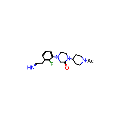 CC(=O)N1CCC(N2CCN(c3cccc(CC=N)c3F)CC2=O)CC1